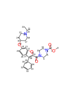 COC(=O)N1CCN(C(=O)c2oc3cc(OC4CCN(C(C)C)CC4)ccc3c2-c2ccccc2)CC1